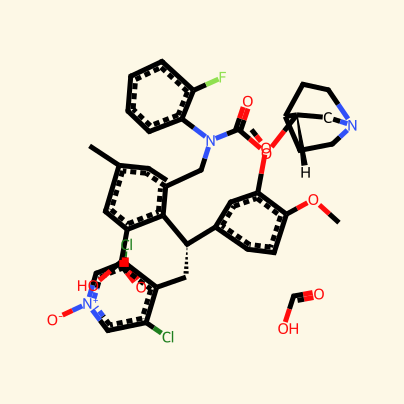 COc1ccc([C@H](Cc2c(Cl)c[n+]([O-])cc2Cl)c2c(CN(C(=O)O[C@H]3CN4CCC3CC4)c3ccccc3F)cc(C)cc2C(=O)O)cc1OC.O=CO